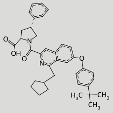 CC(C)(C)c1ccc(Oc2ccc3cc(C(=O)N4C[C@@H](c5ccccc5)CC4C(=O)O)nc(CC4CCCC4)c3c2)cc1